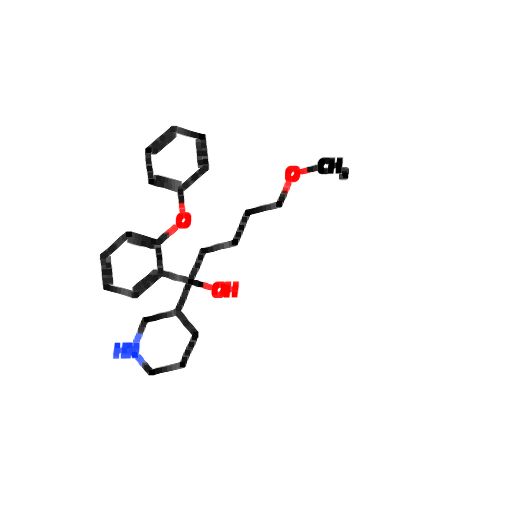 COCCCCC(O)(c1ccccc1Oc1ccccc1)C1CCCNC1